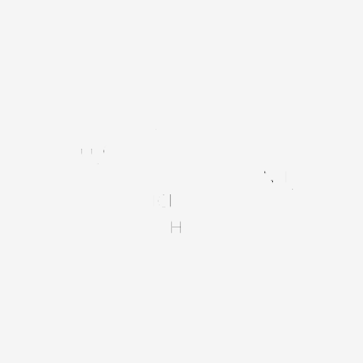 Cl.NCCCC(=O)O.[H+]